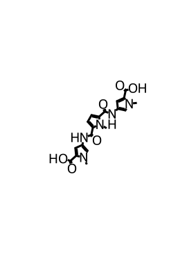 Cn1cc(NC(=O)c2ccc(C(=O)Nc3cc(C(=O)O)n(C)c3)n2C)cc1C(=O)O